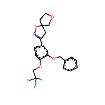 FC(F)(F)COc1ccc(C2=NOC3(CCOC3)C2)cc1OCc1ccccc1